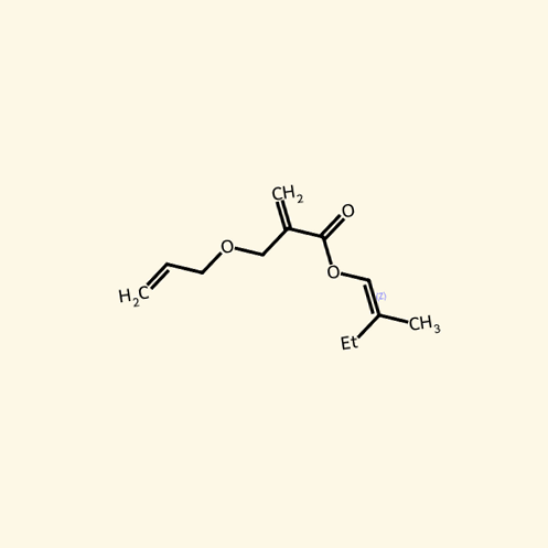 C=CCOCC(=C)C(=O)O/C=C(/C)CC